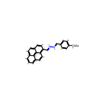 COc1ccc(C=NN=Cc2ccc3ccc4cccc5ccc2c3c45)cc1